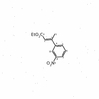 CCOC(=O)C=C(C)c1cccc([N+](=O)[O-])c1